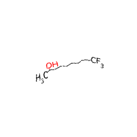 CC(O)CCCCCCCC(F)(F)F